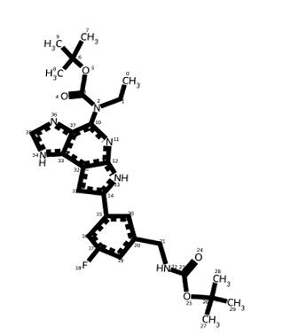 CCN(C(=O)OC(C)(C)C)c1nc2[nH]c(-c3cc(F)cc(CNC(=O)OC(C)(C)C)c3)cc2c2[nH]cnc12